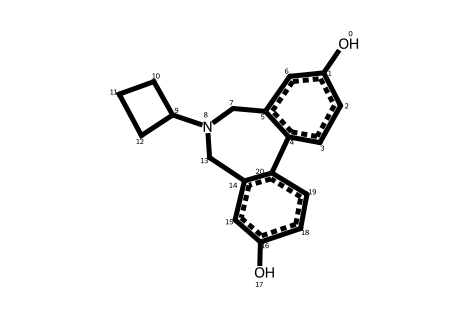 Oc1ccc2c(c1)CN(C1CCC1)Cc1cc(O)ccc1-2